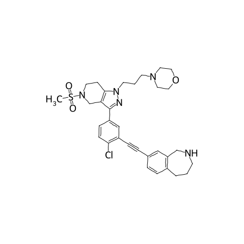 CS(=O)(=O)N1CCc2c(c(-c3ccc(Cl)c(C#Cc4ccc5c(c4)CNCCC5)c3)nn2CCCN2CCOCC2)C1